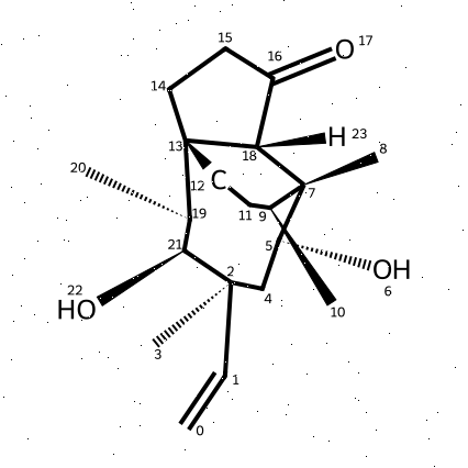 C=C[C@]1(C)C[C@@H](O)[C@]2(C)[C@H](C)CC[C@]3(CCC(=O)[C@@H]32)[C@@H](C)[C@@H]1O